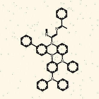 C=N/C(=C\N=C(/C)c1ccccc1)N1c2cc(-c3ccccc3)ccc2B2c3ccc(N(c4ccccc4)c4ccccc4)cc3N(c3ccccc3)c3cccc1c32